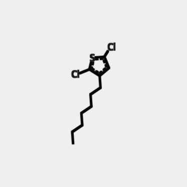 CCCCCCCc1cc(Cl)sc1Cl